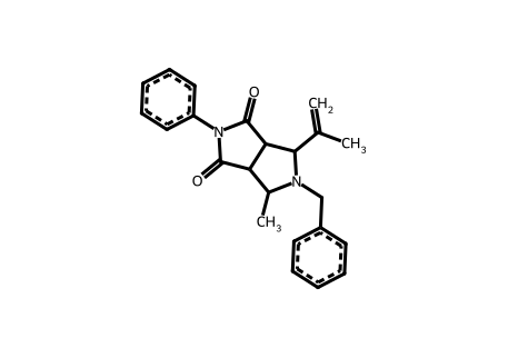 C=C(C)C1C2C(=O)N(c3ccccc3)C(=O)C2C(C)N1Cc1ccccc1